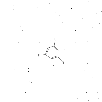 Fc1[c]c(I)cc(F)c1